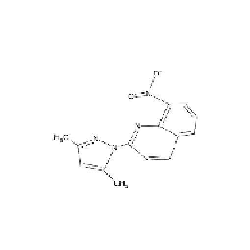 Cc1cc(C)n(-c2ccc3cccc([N+](=O)[O-])c3n2)n1